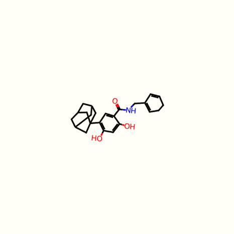 O=C(NCC1=CCCC=C1)c1cc(C23CC4CC(CC(C4)C2)C3)c(O)cc1O